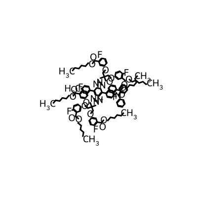 CCCCCCOC(=O)c1cc(OCC(COc2ccc(F)c(C(=O)OCCCCCC)c2)(COc2ccc(F)c(C(=O)OCCCCCC)c2)Cn2nc3c(-c4ccc(N(c5ccccc5)c5ccccc5)cc4)c4n[n+](CC(COc5ccc(F)c(C(=O)OCCCCCC)c5)(COc5ccc(F)c(C(=O)OCCCCCC)c5)COc5ccc(F)c(C(=O)OCCCCCC)c5)[n-]c4c(-c4ccc(C)cc4)c3n2)ccc1F